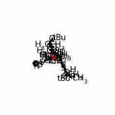 CPCC(C)(C(=O)OCCSSCCOC(=O)C(C)(CC(C)(C)C(C)(CC(C)(C)C)C(=O)OCCSSc1ccccn1)C(C)(C)C(C)(C)CC(C)(C(=O)OC(C)(C)CCOC(C)(C)C)C(C)C)C(C)(C)C